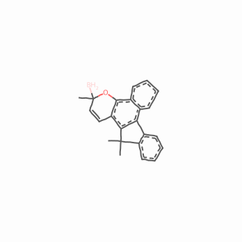 BC1(C)C=Cc2c3c(c4ccccc4c2O1)-c1ccccc1C3(C)C